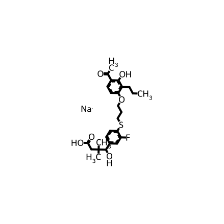 CCCc1c(OCCCSc2ccc(C(O)C(C)(C)CC(=O)O)cc2F)ccc(C(C)=O)c1O.[Na]